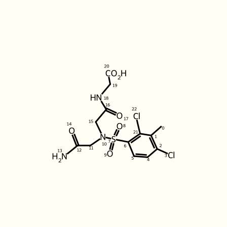 Cc1c(Cl)ccc(S(=O)(=O)N(CC(N)=O)CC(=O)NCC(=O)O)c1Cl